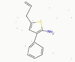 C=CCc1cc(-c2ccccc2)c(N)s1